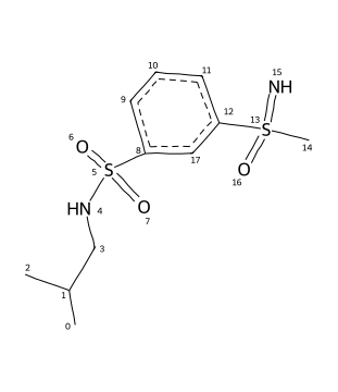 CC(C)CNS(=O)(=O)c1cccc(S(C)(=N)=O)c1